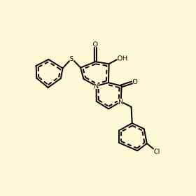 O=c1c(Sc2ccccc2)cn2ccn(Cc3cccc(Cl)c3)c(=O)c2c1O